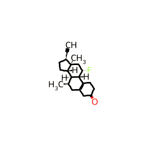 C#C[C@@H]1CC[C@H]2[C@H]3[C@@H](C4=C(CC(=O)CC4)C[C@H]3C)[C@@H](F)C[C@]12C